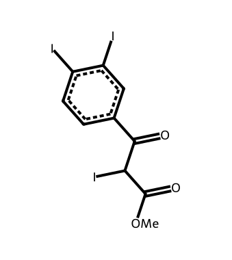 COC(=O)C(I)C(=O)c1ccc(I)c(I)c1